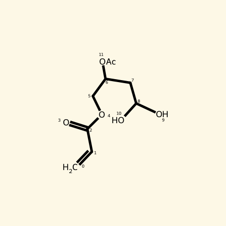 C=CC(=O)OCC(CC(O)O)OC(C)=O